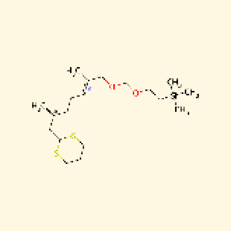 C/C(=C\CC[C@H](C)CC1SCCCS1)COCOCC[Si](C)(C)C